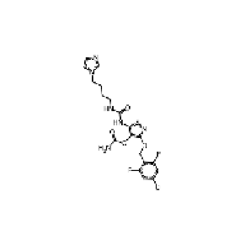 NC(=O)Oc1c(OCc2c(F)cc(Cl)cc2F)nsc1NC(=O)NCCCCn1ccnc1